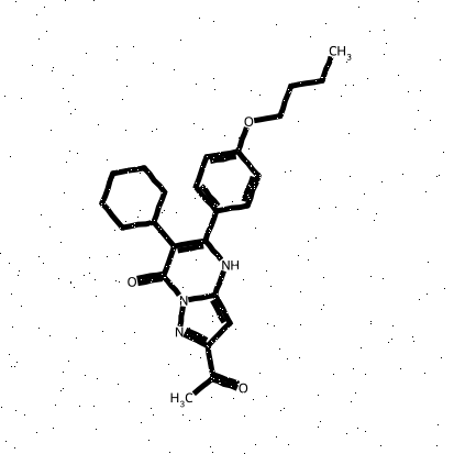 CCCCOc1ccc(-c2[nH]c3cc(C(C)=O)nn3c(=O)c2C2CCCCC2)cc1